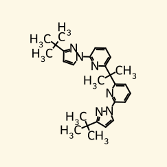 CC(C)(C)c1ccn(-c2cccc(C(C)(C)c3cccc(-n4ccc(C(C)(C)C)n4)n3)n2)n1